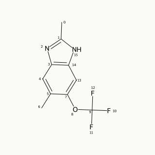 Cc1nc2cc(C)c(OC(F)(F)F)cc2[nH]1